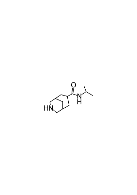 CC(C)NC(=O)C1CC2CNCC(C2)C1